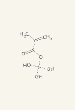 C=C(C)C(=O)OC(O)(O)O